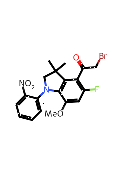 COc1cc(F)c(C(=O)CBr)c2c1N(c1ccccc1[N+](=O)[O-])CC2(C)C